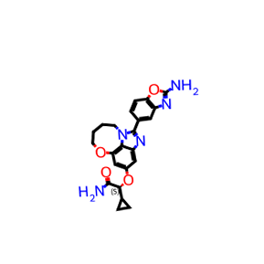 NC(=O)[C@@H](Oc1cc2c3c(c1)nc(-c1ccc4oc(N)nc4c1)n3CCCCO2)C1CC1